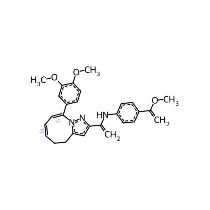 C=C(OC)c1ccc(NC(=C)c2cc3n(n2)/C(c2ccc(OC)c(OC)c2)=C\C=C/CC3)cc1